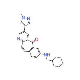 Cn1cc(-c2cnc3ccc4ccc(NCC5CCCCC5)cc4c(=O)c3c2)cn1